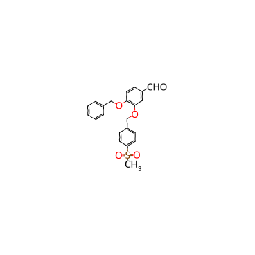 CS(=O)(=O)c1ccc(COc2cc(C=O)ccc2OCc2ccccc2)cc1